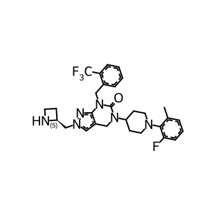 Cc1cccc(F)c1N1CCC(N2Cc3cn(C[C@@H]4CCN4)nc3N(Cc3ccccc3C(F)(F)F)C2=O)CC1